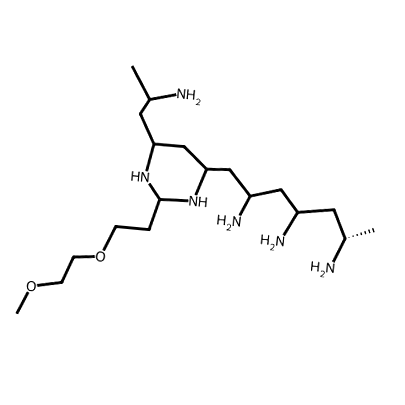 COCCOCCC1NC(CC(C)N)CC(CC(N)CC(N)C[C@H](C)N)N1